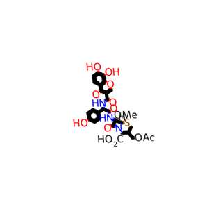 CO[C@@]1(NC(=O)C(NC(=O)c2coc3c(O)c(O)ccc3c2=O)c2ccc(O)cc2)C(=O)N2C(C(=O)O)=C(COC(C)=O)CS[C@H]21